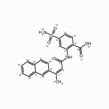 C/C(=C/C(=O)Nc1cc(S(N)(=O)=O)ccc1C(=O)O)c1ccc2ccccc2c1